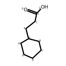 O=C(O)CCC1[CH]CCCC1